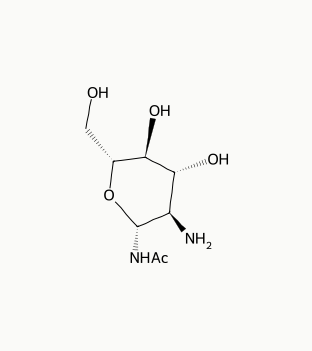 CC(=O)N[C@@H]1O[C@H](CO)[C@@H](O)[C@H](O)[C@H]1N